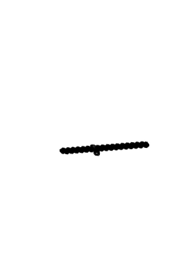 CCCCCCCCCCCCCCCCCCCCCC(=O)OCCCCCCCCCCCCC